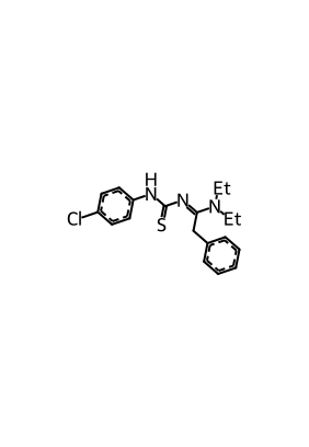 CCN(CC)/C(Cc1ccccc1)=N/C(=S)Nc1ccc(Cl)cc1